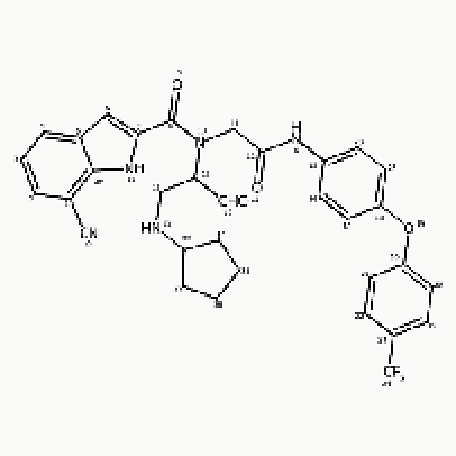 N#Cc1cccc2cc(C(=O)N(CC(=O)Nc3ccc(Oc4ccc(C(F)(F)F)cc4)cc3)C(C=O)CNC3CCCC3)[nH]c12